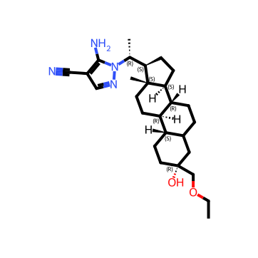 CCOC[C@@]1(O)CC[C@H]2C(CC[C@@H]3[C@@H]2CC[C@]2(C)[C@@H]([C@@H](C)n4ncc(C#N)c4N)CC[C@@H]32)C1